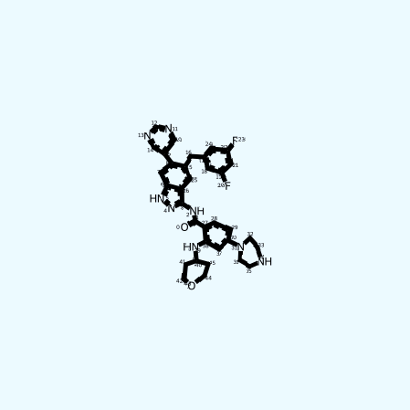 O=C(Nc1n[nH]c2cc(-c3cncnc3)c(Cc3cc(F)cc(F)c3)cc12)c1ccc(N2CCNCC2)cc1NC1CCOCC1